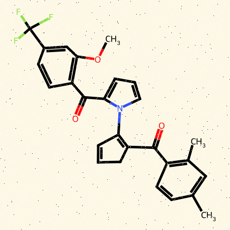 COc1cc(C(F)(F)F)ccc1C(=O)c1cccn1C1=C(C(=O)c2ccc(C)cc2C)CC=C1